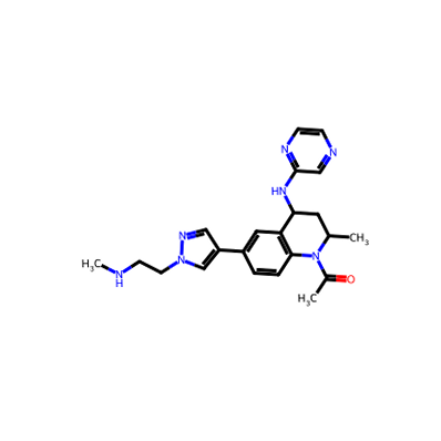 CNCCn1cc(-c2ccc3c(c2)C(Nc2cnccn2)CC(C)N3C(C)=O)cn1